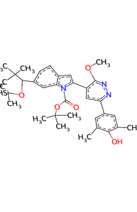 COc1nnc(-c2cc(C)c(O)c(C)c2)cc1-c1cc2ccc(C(O[SiH](C)C)C(C)(C)C)cc2n1C(=O)OC(C)(C)C